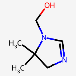 CC1(C)CN=CN1CO